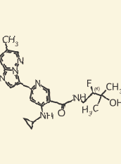 Cc1cnn2c(-c3cc(NC4CC4)c(C(=O)NC[C@@H](F)C(C)(C)O)cn3)cnc2c1